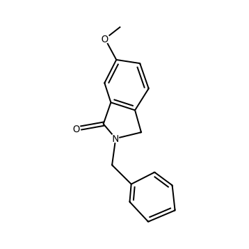 COc1ccc2c(c1)C(=O)N(Cc1ccccc1)C2